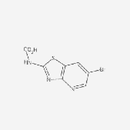 O=C(O)Nc1nc2ncc(Br)cc2s1